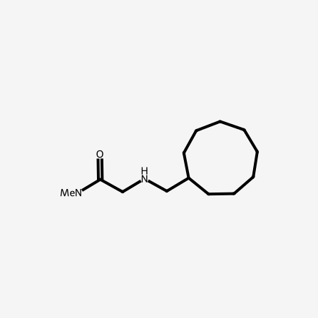 CNC(=O)CNCC1CCCCCCCC1